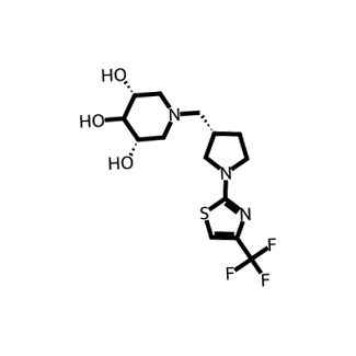 OC1[C@H](O)CN(C[C@@H]2CCN(c3nc(C(F)(F)F)cs3)C2)C[C@@H]1O